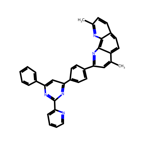 Cc1ccc2ccc3c(C)cc(-c4ccc(-c5cc(-c6ccccc6)nc(-c6ccccn6)n5)cc4)nc3c2n1